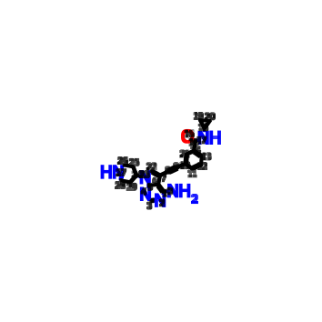 Nc1ncnc2c1c(C#Cc1cccc(C(=O)NC3CC3)c1)cn2C1CCNCC1